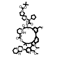 CCn1c(-c2cc(N3CCN4CCCC[C@@H]4C3)cnc2[C@H](C)OC)c2c3cc(ccc31)-c1cc(CF)cc(c1)C[C@H](NC(=O)[C@H](C1CCCC1)N1CC[C@]3(CCN(C(=O)OC(C)(C)C)C3)C1)C(=O)N1CCC[C@H](N1)C(=O)OCC(C)(C)C2